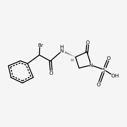 O=C(N[C@H]1CN(S(=O)(=O)O)C1=O)C(Br)c1ccccc1